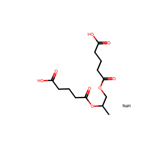 [CH2]C(COC(=O)CCCC(=O)O)OC(=O)CCCC(=O)O.[NaH]